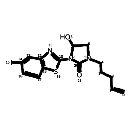 C=CCCCN1CC(O)N(c2nc3cc(I)ccc3s2)C1=O